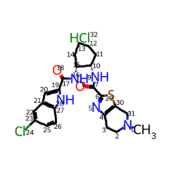 CN1CCc2nc(C(=O)N[C@H]3CCCC[C@H]3NC(=O)c3cc4cc(Cl)ccc4[nH]3)sc2C1.Cl